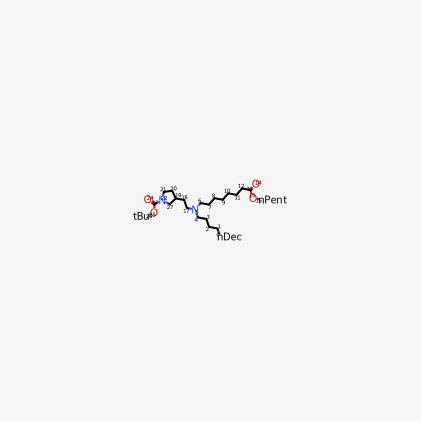 CCCCCCCCCCCCCCN(CCCCCCCC(=O)OCCCCC)CCC1CCN(C(=O)OC(C)(C)C)C1